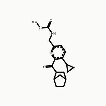 CC(C)(C)OC(=O)NCc1ccc(C2CC2)c(C(=O)C2CC3CCC2C3)n1